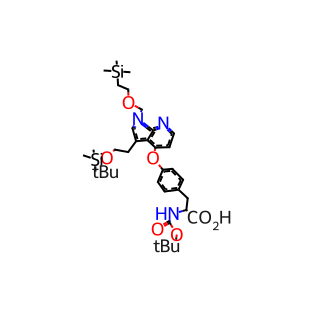 CC(C)(C)OC(=O)NC(Cc1ccc(Oc2ccnc3c2c(CCO[Si](C)(C)C(C)(C)C)cn3COCC[Si](C)(C)C)cc1)C(=O)O